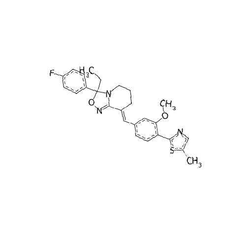 CCC1(c2ccc(F)cc2)ON=C2/C(=C/c3ccc(-c4ncc(C)s4)c(OC)c3)CCCN21